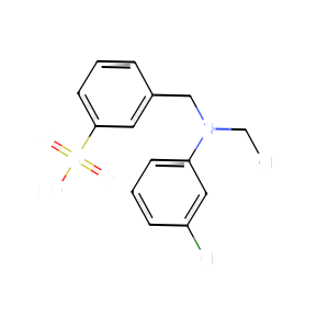 CCN(Cc1cccc(S(=O)(=O)O)c1)c1cccc(Cl)c1